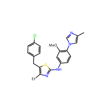 CCc1nc(Nc2ccc(-n3cnc(C)c3)c(OC)c2)sc1Cc1ccc(Cl)cc1